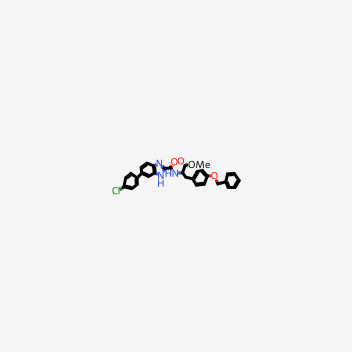 COC(=O)C(Cc1ccc(OCc2ccccc2)cc1)NC(=O)c1nc2ccc(-c3ccc(Cl)cc3)cc2[nH]1